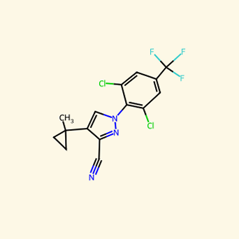 CC1(c2cn(-c3c(Cl)cc(C(F)(F)F)cc3Cl)nc2C#N)CC1